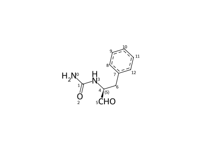 NC(=O)N[C@H](C=O)Cc1ccccc1